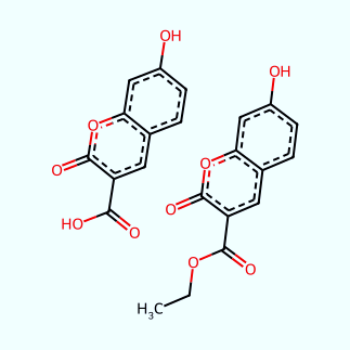 CCOC(=O)c1cc2ccc(O)cc2oc1=O.O=C(O)c1cc2ccc(O)cc2oc1=O